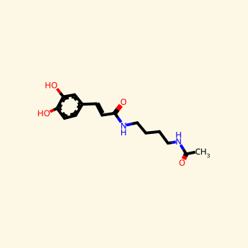 CC(=O)NCCCCNC(=O)/C=C/c1ccc(O)c(O)c1